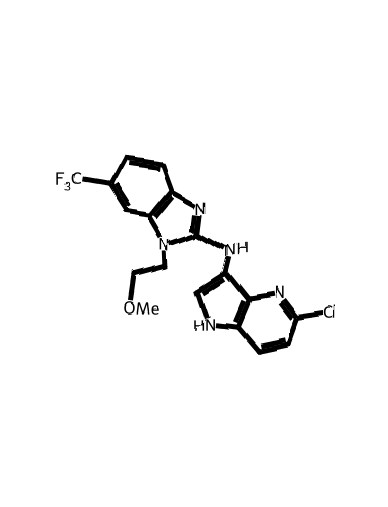 COCCn1c(Nc2c[nH]c3ccc(Cl)nc23)nc2ccc(C(F)(F)F)cc21